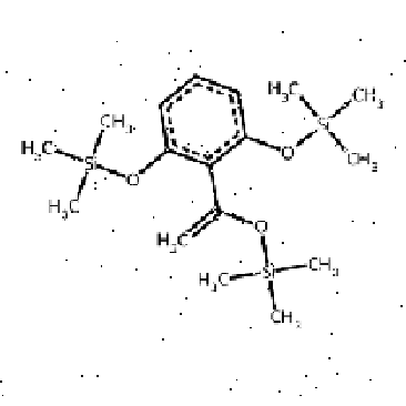 C=C(O[Si](C)(C)C)c1c(O[Si](C)(C)C)cccc1O[Si](C)(C)C